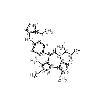 CCn1nccc1Nc1ccc(C2=N[C@@H](C(C)C(=O)O)c3nnc(C)n3-c3sc(C)c(C)c32)cc1